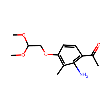 COC(COc1ccc(C(C)=O)c(N)c1C)OC